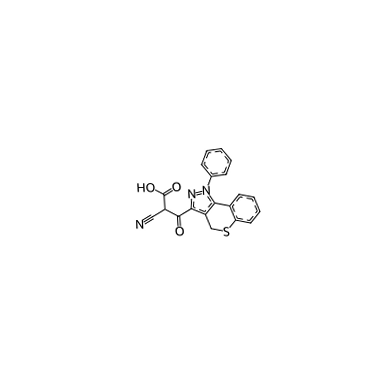 N#CC(C(=O)O)C(=O)c1nn(-c2ccccc2)c2c1CSc1ccccc1-2